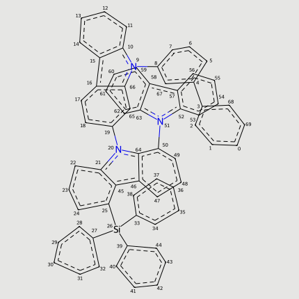 c1ccc(-c2cccc(-n3c4ccccc4c4ccc(-n5c6cccc([Si](c7ccccc7)(c7ccccc7)c7ccccc7)c6c6cccc(-n7c8ccccc8c8ccccc87)c65)cc43)c2)cc1